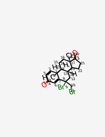 C[C@]12C=CC(=O)C=C1[C@@](Br)(CBr)C[C@@H]1[C@@H]2CC[C@]2(C)C(=O)CC[C@@H]12